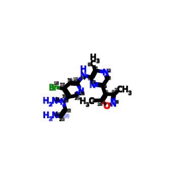 Cc1ncc(-c2c(C)noc2C)nc1Nc1cc(Br)c(N(N)/C=C\N)cn1